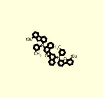 Cc1cccc(N(c2cccc3c2Cc2c-3cccc2C(C)(C)C)c2cc3oc4c5ccccc5c(N(c5cccc(C)c5)c5cccc6c5oc5c(C(C)(C)C)cccc56)cc4c3c3ccccc23)c1